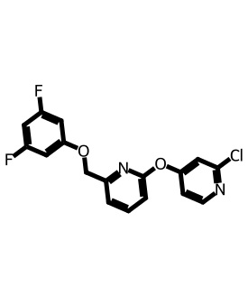 Fc1cc(F)cc(OCc2cccc(Oc3ccnc(Cl)c3)n2)c1